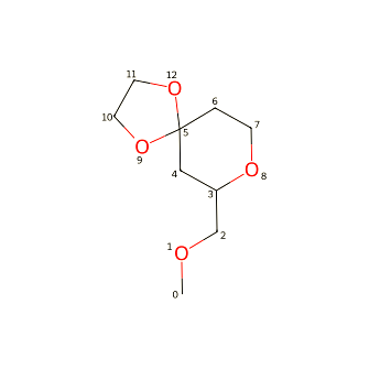 COCC1CC2(CCO1)OCCO2